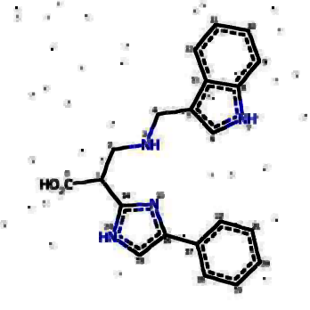 O=C(O)C(CNCc1c[nH]c2ccccc12)c1nc(-c2ccccc2)c[nH]1